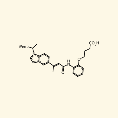 CCCC(C)C(C)n1ccc2cc(C(C)=CC(=O)Nc3ccccc3OCCCC(=O)O)ccc21